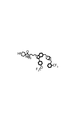 NC1(C(=O)NCCCn2cc(-c3ccc(OC(F)(F)F)cc3)c3cc(CN4CC5CC4CN5Cc4ccccc4C(F)(F)F)ccc32)CCNCC1